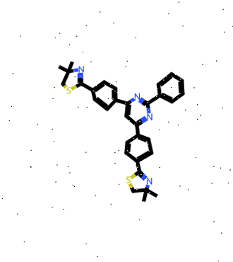 CC1(C)CSC(c2ccc(-c3cc(-c4ccc(C5=NC(C)(C)CS5)cc4)nc(-c4ccccc4)n3)cc2)=N1